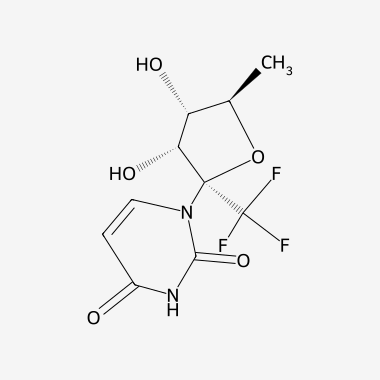 C[C@H]1O[C@](n2ccc(=O)[nH]c2=O)(C(F)(F)F)[C@H](O)[C@@H]1O